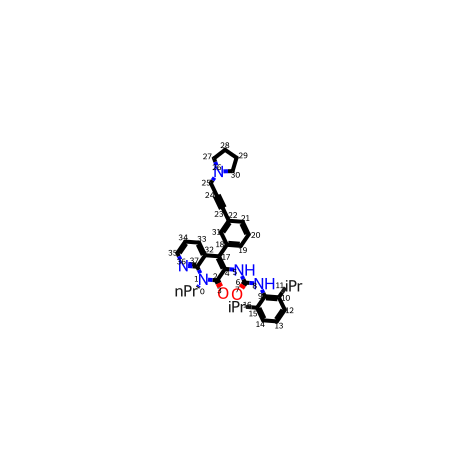 CCCn1c(=O)c(NC(=O)Nc2c(C(C)C)cccc2C(C)C)c(-c2cccc(C#CCN3CCCC3)c2)c2cccnc21